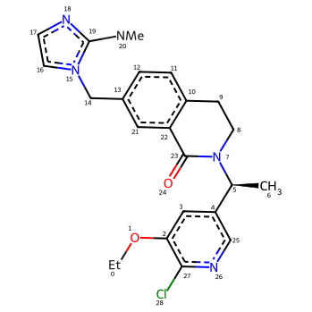 CCOc1cc([C@H](C)N2CCc3ccc(Cn4ccnc4NC)cc3C2=O)cnc1Cl